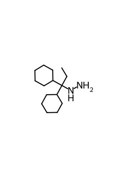 CCC(NN)(C1CCCCC1)C1CCCCC1